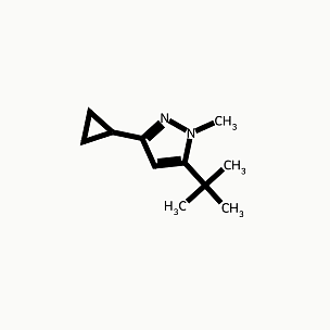 Cn1nc(C2CC2)cc1C(C)(C)C